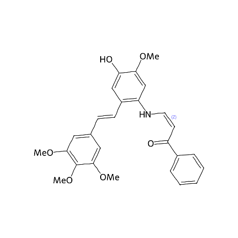 COc1cc(N/C=C\C(=O)c2ccccc2)c(C=Cc2cc(OC)c(OC)c(OC)c2)cc1O